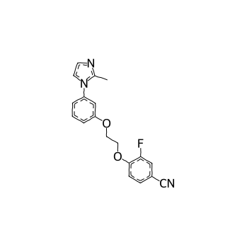 Cc1nccn1-c1cccc(OCCOc2ccc(C#N)cc2F)c1